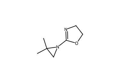 CC1(C)CN1C1=NCCO1